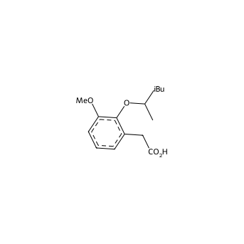 CCC(C)C(C)Oc1c(CC(=O)O)cccc1OC